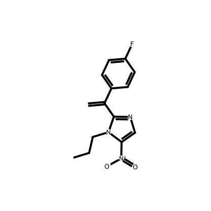 C=C(c1ccc(F)cc1)c1ncc([N+](=O)[O-])n1[CH]CC